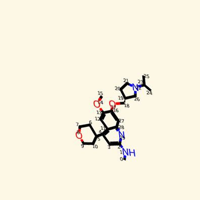 CNc1cc(C2CCOCC2)c2cc(OC)c(OC[C@@H]3CCN(C(C)C)C3)cc2n1